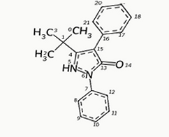 CC(C)(C)c1[nH]n(-c2ccccc2)c(=O)c1-c1ccccc1